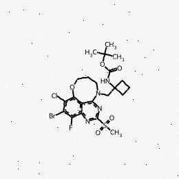 CC(C)(C)OC(=O)NC1(CN2CCCOc3c(Cl)c(Br)c(F)c4nc(S(C)(=O)=O)nc2c34)CCC1